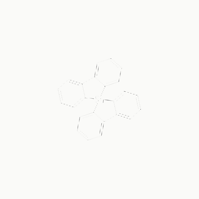 c1cc[c]2c(c1)-c1cccc[c]1[Sn]21[c]2ccccc2-c2cccc[c]21